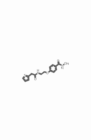 O=C(Cc1cccs1)NCCOc1ccc(C(=O)NO)cc1